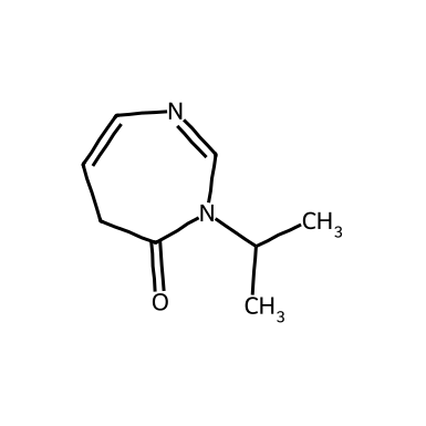 CC(C)N1C=NC=CCC1=O